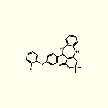 CC1(C)CC(=O)C2=C(C1)Nc1ccccc1NC2c1ccc(Oc2ccccc2Br)cc1